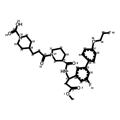 COC(=O)CC(NC(=O)[C@@H]1CCCN(C(=O)CCC2CCN(C(=O)O)CC2)C1)c1cc(F)cc(-c2ccc(OCCF)cc2)c1